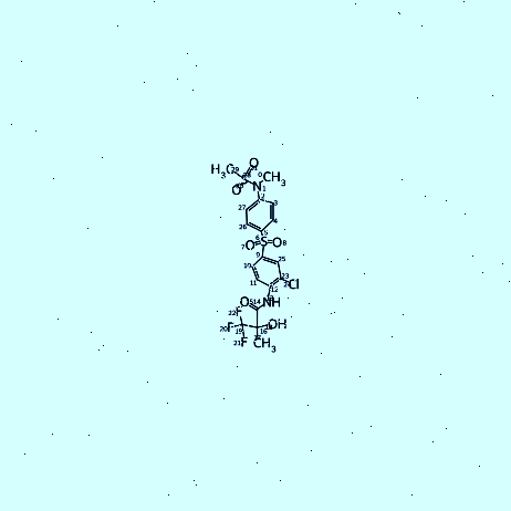 CN(c1ccc(S(=O)(=O)c2ccc(NC(=O)C(C)(O)C(F)(F)F)c(Cl)c2)cc1)S(C)(=O)=O